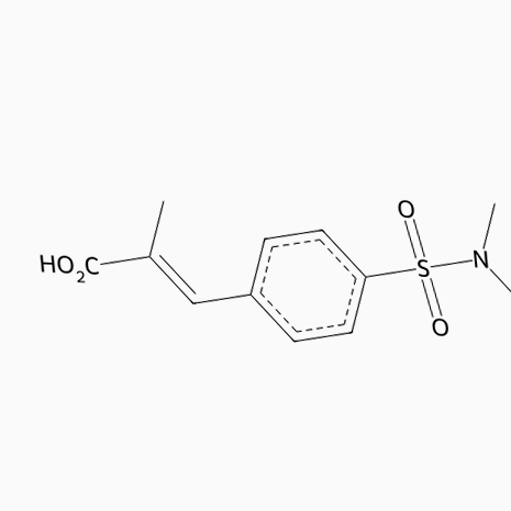 C/C(=C\c1ccc(S(=O)(=O)N(C)C)cc1)C(=O)O